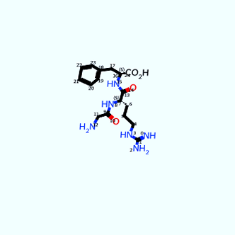 N=C(N)NCCC[C@H](NC(=O)CN)C(=O)N[C@@H](Cc1ccccc1)C(=O)O